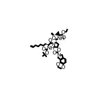 C=CCCCCC[C@H](NC(=O)OC(C)(C)C)C(=O)N1C[C@H](OC(=O)N2Cc3ccc4c(c3C2)OCCO4)C[C@H]1C(=O)N[C@]1(C(=O)OCC)C[C@H]1C=C